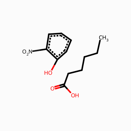 CCCCCC(=O)O.O=[N+]([O-])c1ccccc1O